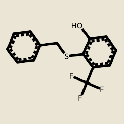 Oc1cccc(C(F)(F)F)c1SCc1ccccc1